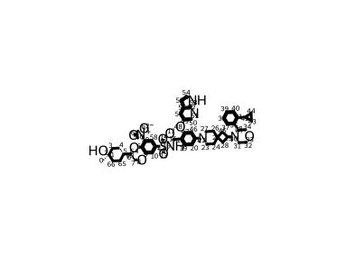 C[C@]1(O)CC[C@H]([C@@H]2COc3cc(S(=O)(=O)NC(=O)c4ccc(N5CCC6(CC5)CC(N5CCOC[C@@H]5c5ccccc5C5CC5)C6)cc4Oc4cnc5[nH]ccc5c4)cc([N+](=O)[O-])c3O2)CC1